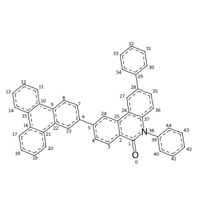 O=c1c2ccc(-c3ccc4c5ccccc5c5ccccc5c4c3)cc2c2cc(-c3ccccc3)ccc2n1-c1ccccc1